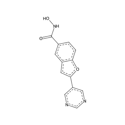 O=C(NO)c1ccc2oc(-c3cncnc3)cc2c1